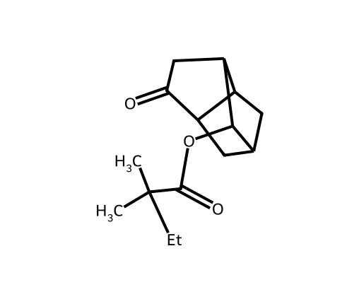 CCC(C)(C)C(=O)OC1C2CC3C(=O)CC1C3C2